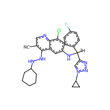 [2H]C(Nc1cc(Cl)c2ncc(C#N)c(NNC3CCCCC3)c2c1)(c1ccc(F)cc1)c1cn(C2CC2)nn1